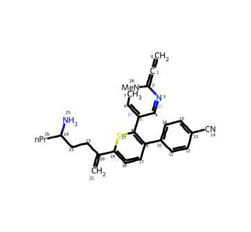 C=C=C(/N=C\C(=C/C)C1=C(c2ccc(C#N)cc2)C=C=C(C(=C)CCC(N)CCC)S1)NC